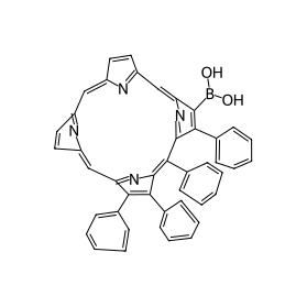 OB(O)C1=C(c2ccccc2)C2=NC1=CC1=NC(=CC3=NC(=CC4=NC(=C2c2ccccc2)C(c2ccccc2)=C4c2ccccc2)C=C3)C=C1